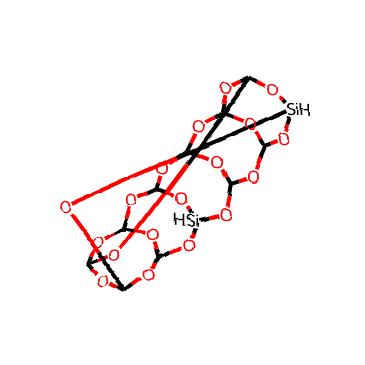 O1C2OC3OC4OC5OC6OC1OC1OC(O2)O[SiH](O3)OC(O4)OC(O5)O[SiH](O6)O1